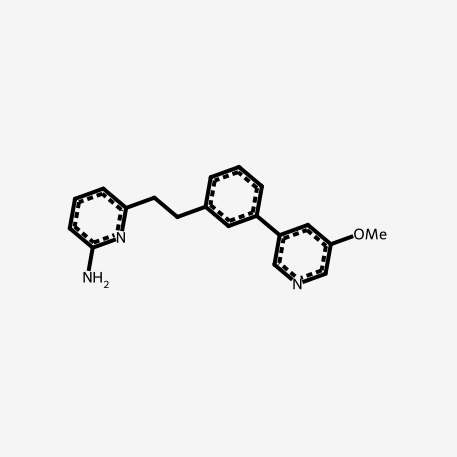 COc1cncc(-c2cccc(CCc3cccc(N)n3)c2)c1